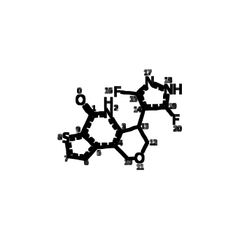 O=c1[nH]c2c(c3ccsc13)COCC2c1c(F)n[nH]c1F